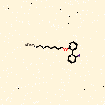 CCCCCCCCCCCCCCCCCCOc1ccccc1-c1ccccc1I